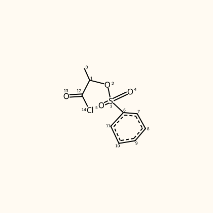 CC(OS(=O)(=O)c1ccccc1)C(=O)Cl